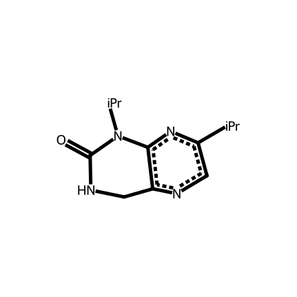 CC(C)c1cnc2c(n1)N(C(C)C)C(=O)NC2